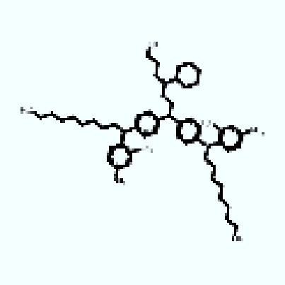 CCCCCCCCCC(c1ccc(C(CCC(CCCC)C2CCCCC2)c2ccc(C(CCCCCCCCC)c3ccc(N)cc3C)cc2)cc1)c1ccc(N)cc1C